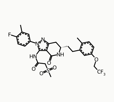 Cc1cc(-n2nc3c(c2NC(=O)CS(C)(=O)=O)C(=O)N[C@@H](CCc2cc(OCC(F)(F)F)ccc2C)C3)ccc1F